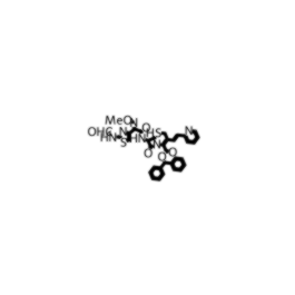 CO/N=C(/C(=O)NC1C(=O)N2C(C(=O)OC(c3ccccc3)c3ccccc3)=C(/C=C/c3ccccn3)CS[C@H]12)c1csc(NC=O)n1